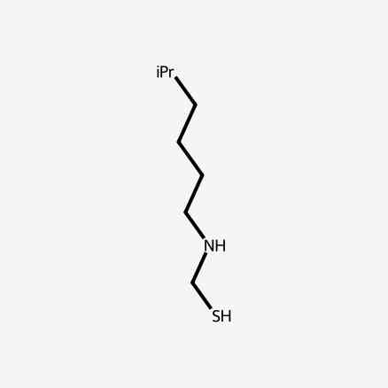 CC(C)CCCCNCS